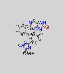 COc1nc(-c2ccc(Cn3c(=O)[nH]c4cnc(-c5ccccc5C(C)C)nc43)cc2)nn1C